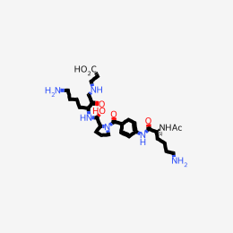 CC(=O)N[C@@H](CCCCN)C(=O)NC1=CCC(C(=O)N2CCCC2C(O)NC(CCCCN)C(=O)CNCCC(=O)O)C=C1